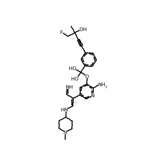 CN1CCC(N/C=C(\C=N)c2cnc(N)c(OC(O)(O)c3cccc(C#CC(C)(O)CF)c3)c2)CC1